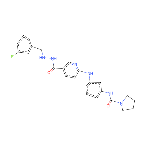 O=C(NNCc1cccc(F)c1)c1ccc(Nc2cccc(NC(=O)N3CCCC3)c2)nc1